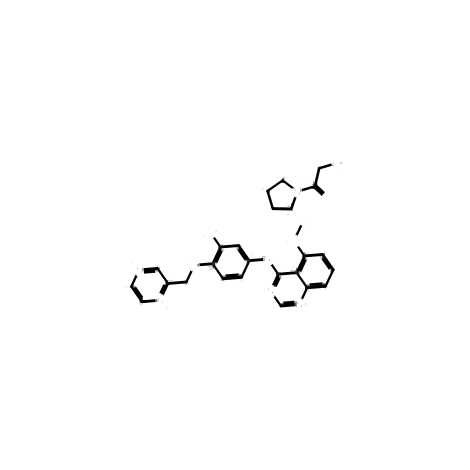 Cc1cc(Nc2ncnc3cccc(OC[C@@H]4CCCN4C(=O)CO)c23)ccc1OCc1cnccn1